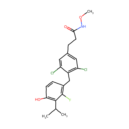 CONC(=O)CCc1cc(Cl)c(Cc2ccc(O)c(C(C)C)c2F)c(Cl)c1